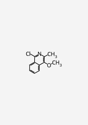 COc1c(C)nc(Cl)c2ccccc12